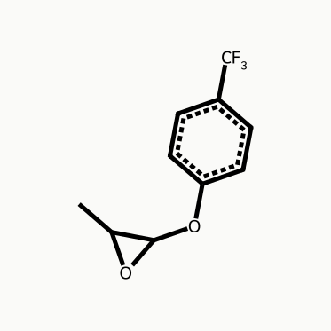 CC1OC1Oc1ccc(C(F)(F)F)cc1